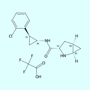 O=C(N[C@@H]1C[C@H]1c1ccccc1Cl)[C@@H]1C[C@H]2C[C@H]2N1.O=C(O)C(F)(F)F